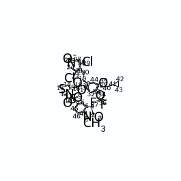 CN1C(=O)Cc2cc(S(=O)(=O)N3CSC[C@H]3C(=O)O[C@@H](Cc3c(Cl)c[n+]([O-])cc3Cl)c3ccc(OC(F)F)c(OCC4CC4)c3)ccc21